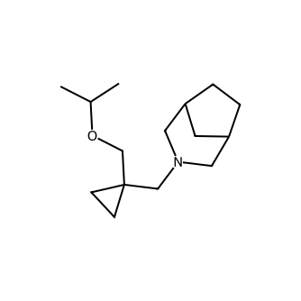 CC(C)OCC1(CN2CC3CCC(C3)C2)CC1